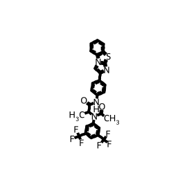 CC(=O)N(c1cc(C(F)(F)F)cc(C(F)(F)F)c1)C(C)C(=O)Nc1ccc(-c2cn3c(n2)sc2ccccc23)cc1